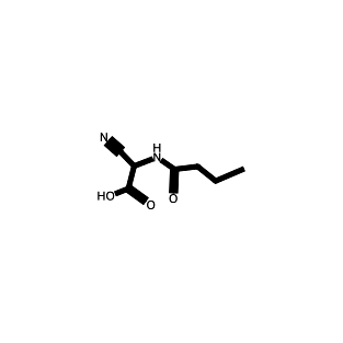 CCCC(=O)NC(C#N)C(=O)O